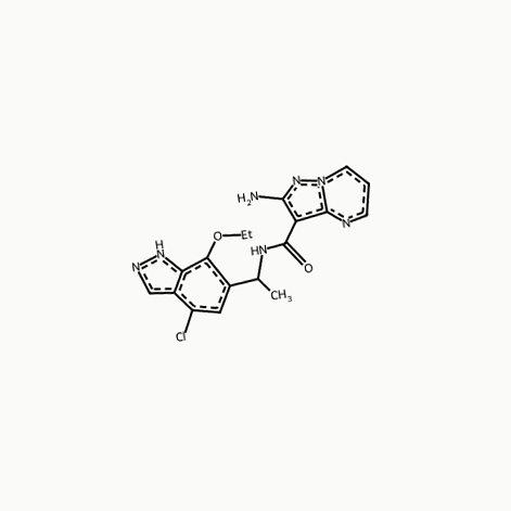 CCOc1c(C(C)NC(=O)c2c(N)nn3cccnc23)cc(Cl)c2cn[nH]c12